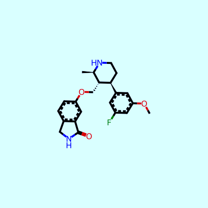 COc1cc(F)cc([C@@H]2CCN[C@H](C)[C@H]2COc2ccc3c(c2)C(=O)NC3)c1